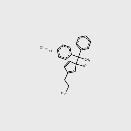 CCCC1=C[C]([Ti+3])(C(C)(c2ccccc2)c2ccccc2)C=C1.[Cl-].[Cl-].[Cl-]